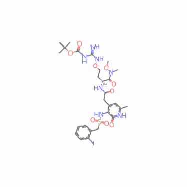 CON(C)C(=O)[C@H](CCONC(=N)NC(=O)OC(C)(C)C)NC(=O)Cc1cc(C)[nH]c(=O)c1NS(=O)(=O)Cc1ccccc1I